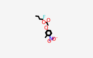 CCCC(F)OC(=O)COc1ccc([N+](=O)[O-])c(C)c1